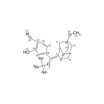 [2H]C([2H])([2H])OC(=C1C2CC3CC1CC(OC)(C3)C2)c1ccc(C#N)c(O)c1